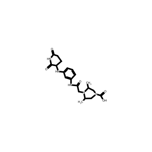 CC1CN(C(=O)O)CC(C)N1CC(=O)Nc1cccc(NC2CCC(=O)NC2=O)c1